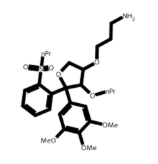 CCCOC1C(OCCCN)COC1(c1cc(OC)c(OC)c(OC)c1)c1ccccc1S(=O)(=O)CCC